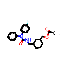 CC(=O)OCC1CCCC(CNC(=O)N(c2ccccc2)c2ccc(F)cc2)C1